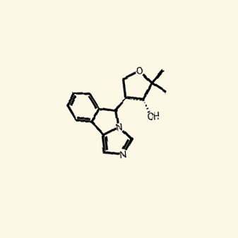 CC1(C)OC[C@H](C2c3ccccc3-c3cncn32)[C@H]1O